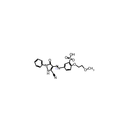 COCCOc1ccc(/N=N/c2c(C#N)[nH]n(-c3ccccc3)c2=O)cc1S(=O)(=O)O